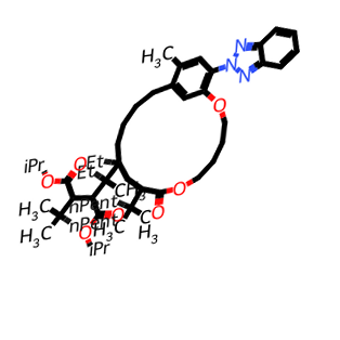 CCCCCC(C)(C)C1CC(CC)(C(C)(CC)C(C(=O)OC(C)C)C(C(=O)OC(C)C)C(C)(C)CCCCC)CCCCc2cc(c(-n3nc4ccccc4n3)cc2C)OCCCCOC1=O